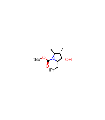 CC(C)C[C@H]1[C@@H](O)[C@@H](C)[C@H](C)N1C(=O)OC(C)(C)C